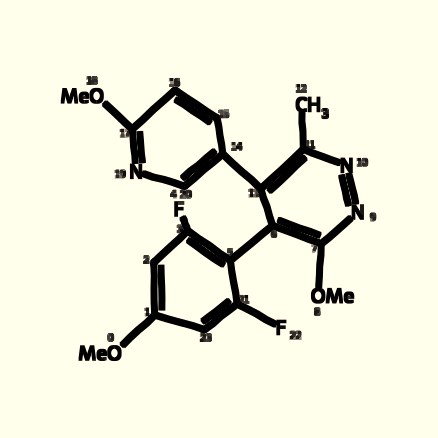 COc1cc(F)c(-c2c(OC)nnc(C)c2-c2ccc(OC)nc2)c(F)c1